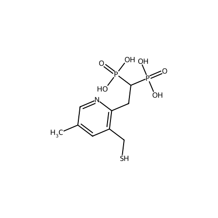 Cc1cnc(CC(P(=O)(O)O)P(=O)(O)O)c(CS)c1